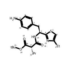 CCc1csc([C@H](Cc2ccc(N)cc2)NC(=O)[C@@H](C(=O)OC(C)(C)C)C(C)C)n1